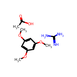 CC(=O)O.COc1cc(OC)cc(OC)c1.N=C(N)N